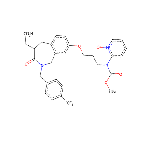 CCCCOC(=O)N(CCCOc1ccc2c(c1)CN(Cc1ccc(C(F)(F)F)cc1)C(=O)C(CC(=O)O)C2)c1cccc[n+]1[O-]